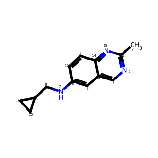 Cc1ncc2cc(NCC3CC3)ccc2n1